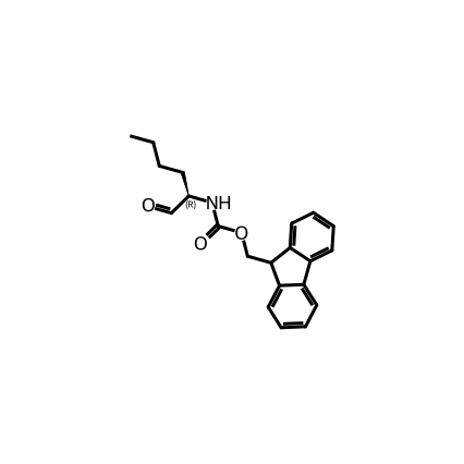 CCCC[C@H](C=O)NC(=O)OCC1c2ccccc2-c2ccccc21